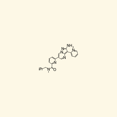 CC(C)CN(C)C(=O)c1cccc(-c2cnc3c(-c4ccccn4)c(N)nn3c2)n1